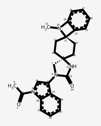 CC(=O)n1cc(N2C[C@]3(CC[C@]4(CC3)c3ccccc3N4C)NC2=O)c2ccccc21